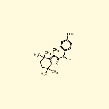 CCN(c1ccc([C]=O)cn1)c1sc2c(c1C)C(C)(C)CCC2(C)C